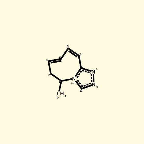 CC1C/C=C/C=C\c2nncn21